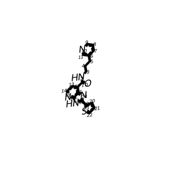 O=C(NCCCc1cccnc1)c1ccnc2[nH]c(-c3cccs3)nc12